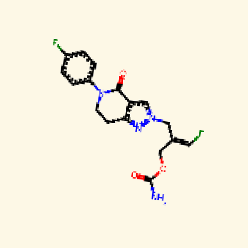 NC(=O)OC/C(=C/F)Cn1cc2c(n1)CCN(c1ccc(F)cc1)C2=O